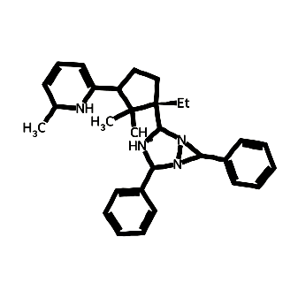 CC[C@]1(C2NC(c3ccccc3)N3C(c4ccccc4)N23)CCC(C2=CC=CC(C)N2)C1(C)C